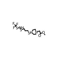 COC(=O)CN1CCN(SCCCSNSC(F)(F)F)CC1